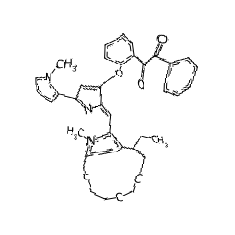 CCC1CCCCCCCCc2cc1c(C=C1N=C(c3cccn3C)C=C1Oc1ccccc1C(=O)C(=O)c1ccccc1)n2C